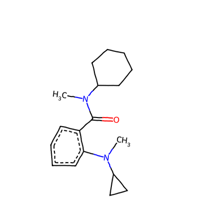 CN(C(=O)c1ccccc1N(C)C1CC1)C1CCCCC1